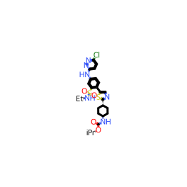 CCNS(=O)(=O)c1cc(Nc2ccc(Cl)nn2)ccc1-c1cnc([C@H]2CC[C@H](NC(=O)OC(C)C)CC2)s1